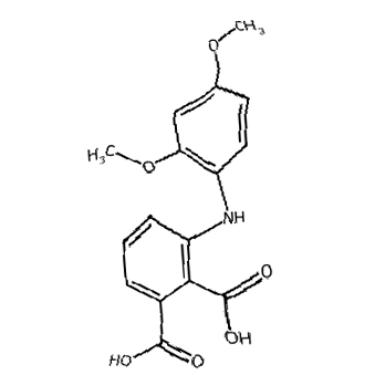 COc1ccc(Nc2cccc(C(=O)O)c2C(=O)O)c(OC)c1